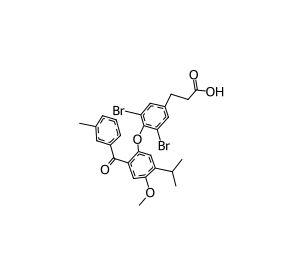 COc1cc(C(=O)c2cccc(C)c2)c(Oc2c(Br)cc(CCC(=O)O)cc2Br)cc1C(C)C